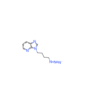 [N-]=[N+]=NCCCCn1cnc2cccnc21